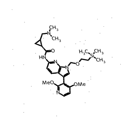 COc1ccnc(OC)c1-c1cn(COCC[Si](C)(C)C)c2nc(NC(=O)C3CC3CN(C)C)ccc12